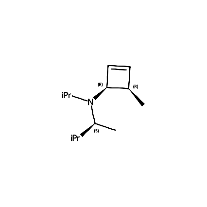 CC(C)[C@H](C)N(C(C)C)[C@H]1C=C[C@H]1C